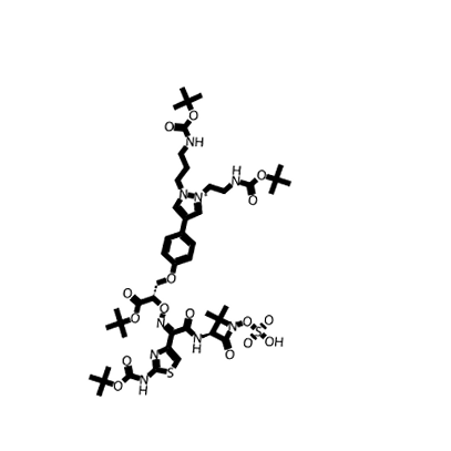 CC(C)(C)OC(=O)NCCCn1cc(-c2ccc(OC[C@H](O/N=C(\C(=O)N[C@@H]3C(=O)N(OS(=O)(=O)O)C3(C)C)c3csc(NC(=O)OC(C)(C)C)n3)C(=O)OC(C)(C)C)cc2)c[n+]1CCNC(=O)OC(C)(C)C